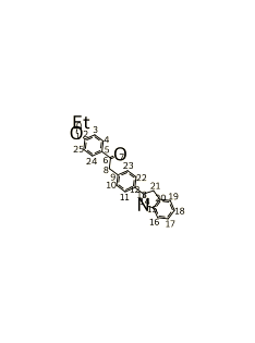 CCOc1ccc(C(=O)Cc2ccc(C3=Nc4ccccc4C3)cc2)cc1